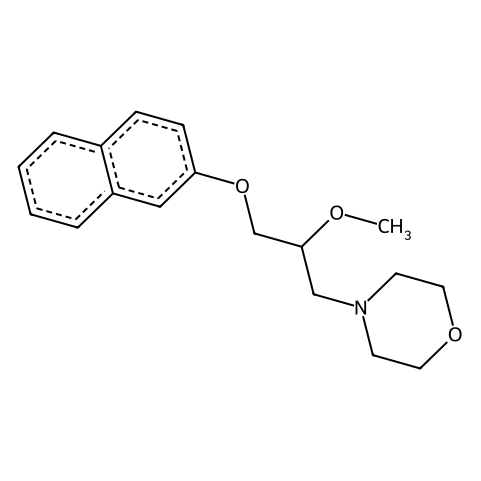 COC(COc1ccc2ccccc2c1)CN1CCOCC1